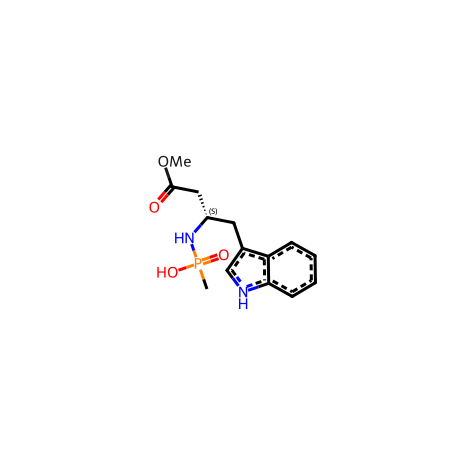 COC(=O)C[C@H](Cc1c[nH]c2ccccc12)NP(C)(=O)O